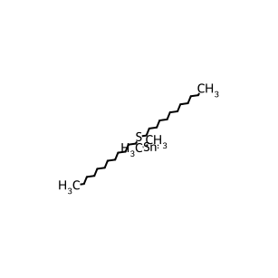 CCCCCCCCCCCCSCCCCCCCCCCCC.[CH3][Sn][CH3]